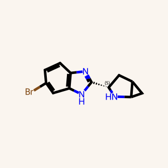 Brc1ccc2nc([C@@H]3CC4CC4N3)[nH]c2c1